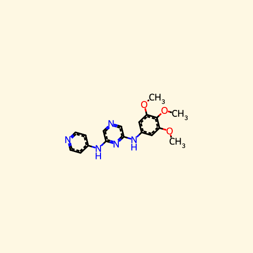 COc1cc(Nc2cncc(Nc3ccncc3)n2)cc(OC)c1OC